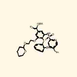 COC(=O)c1cc(NS(=O)(=O)c2ccc(C(C)C)cn2)c(Oc2ccccc2OC)c(OCCOC2CCCCO2)c1